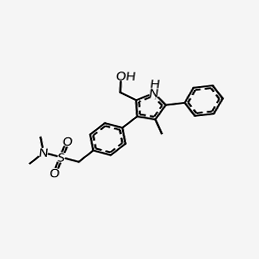 Cc1c(-c2ccccc2)[nH]c(CO)c1-c1ccc(CS(=O)(=O)N(C)C)cc1